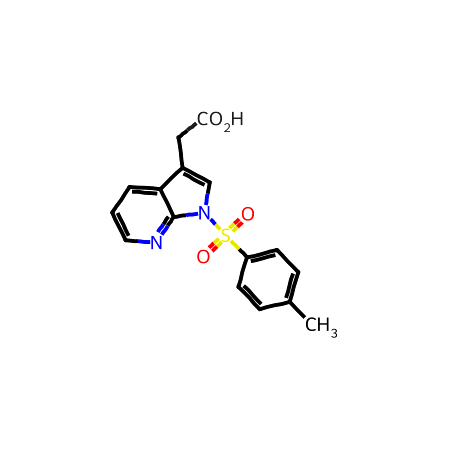 Cc1ccc(S(=O)(=O)n2cc(CC(=O)O)c3cccnc32)cc1